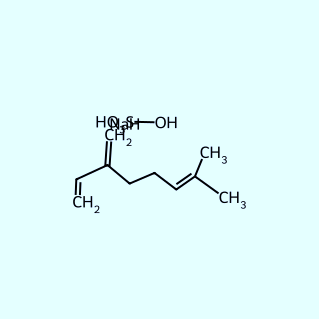 C=CC(=C)CCC=C(C)C.O=S(=O)(O)O.[NaH]